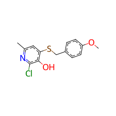 COc1ccc(CSc2cc(C)nc(Cl)c2O)cc1